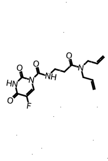 C=CCN(CC=C)C(=O)CCNC(=O)n1cc(F)c(=O)[nH]c1=O